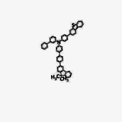 CC1(C)c2ccccc2-c2cc(-c3ccc(-c4ccc(N(c5ccc(-c6ccc7c(c6)sc6ccccc67)cc5)c5cccc(-c6ccccc6)c5)cc4)cc3)ccc21